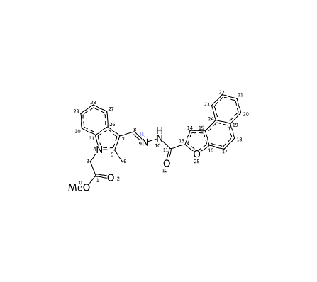 COC(=O)Cn1c(C)c(/C=N/NC(=O)c2cc3c(ccc4ccccc43)o2)c2ccccc21